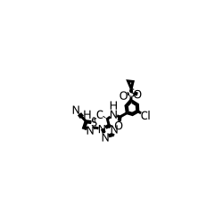 C[C@H](NC(=O)c1cc(Cl)cc(S(=O)(=O)C2CC2)c1)c1ncnn1-c1ncc(C#N)s1